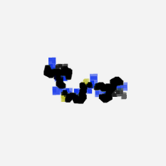 CC(CCCCNc1nc(-c2cccc(-c3csc(NCCCCC(C)(c4ccc[nH]4)c4ccc[nH]4)n3)n2)cs1)(c1ccc[nH]1)c1ccc[nH]1